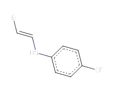 [CH2]CC=CNc1ccc(C(F)(F)F)cc1